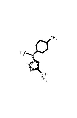 CPc1cn(N(C)C2CCC(C)CC2)nn1